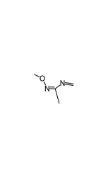 C=N/C(C)=N\OC